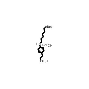 CCCCCCCCCCCCCCCCNc1ccc(CCC(=O)O)cc1.Cl.Cl